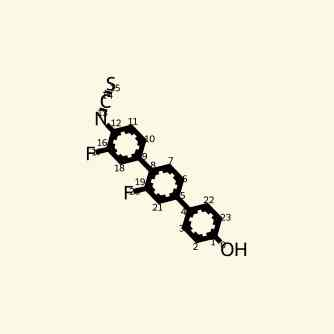 Oc1ccc(-c2ccc(-c3ccc(N=C=S)c(F)c3)c(F)c2)cc1